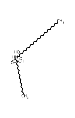 CCCCCCCCCCCCCCCCCCCCCC[C@H](O)C(=O)N[C@@H](CO)[C@H](O)CCCCCCCCCCCCCCC